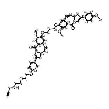 C#CCNCCOCCOc1ccc(C2=CN3C(=O)c4cc(OC)c(OCCCOc5cc6c(cc5OC)C(=O)N5C=C(c7ccc(OC)cc7)CC5C=N6)cc4N=CC3C2)cn1